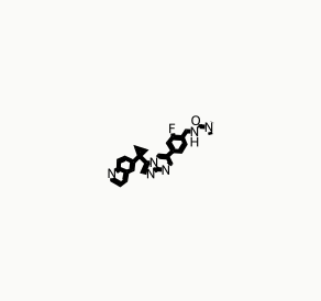 CN(C)C(=O)NCc1ccc(-c2cnc3ncc(C4(c5ccc6ncccc6c5)CC4)n3c2)cc1F